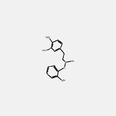 CCCc1ccccc1ON(CCc1ccc(O)c(O)c1)C(C)=O